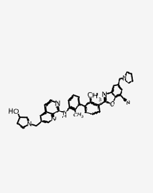 Cc1c(Nc2nccc3cc(CN4CCC(O)C4)cnc23)cccc1-c1cccc(-c2nc3cc(CN4CCCC4)cc(C#N)c3o2)c1C